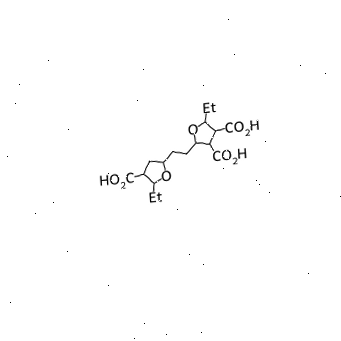 CCC1OC(CCC2OC(CC)C(C(=O)O)C2C(=O)O)CC1C(=O)O